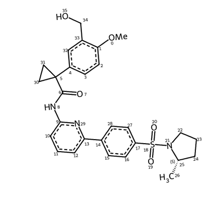 COc1ccc(C2(C(=O)Nc3cccc(-c4ccc(S(=O)(=O)N5CCC[C@@H]5C)cc4)n3)CC2)cc1CO